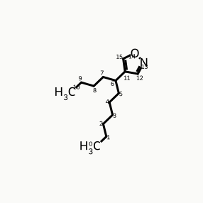 CCCCCCC(CCCC)c1cnoc1